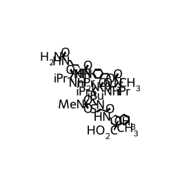 CCCN(C(=O)[C@@H](NC(=O)[C@@H](C(C)C)N(C)C(=O)OCc1ccc(NC(=O)[C@H](CCCNC(N)=O)NC(=O)[C@@H](N)C(C)C)cc1)[C@@H](C)CC)[C@H](C[C@@H](OC(=O)NC)c1nc(C(=O)N[C@@H](Cc2ccccc2)CC(C)(C)C(=O)O)cs1)C(C)C